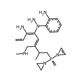 C=C/C(N)=C(\C=C(/CPC)C(C)CP(=C)(N1C=C1)N1CC1)N(N)c1ccccc1N